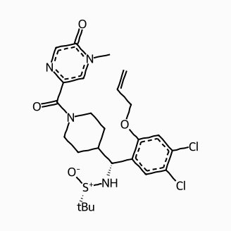 C=CCOc1cc(Cl)c(Cl)cc1[C@H](N[S@@+]([O-])C(C)(C)C)C1CCN(C(=O)c2cn(C)c(=O)cn2)CC1